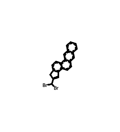 BrC(Br)C1=Cc2c(ccc3c2ccc2cc4ccccc4cc23)C1